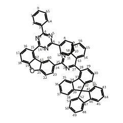 c1ccc(-c2nc(-c3ccccc3)nc(-c3cccc4oc5ccc(-c6nc(-c7cccc8c7-c7ccccc7C87c8ccccc8-c8ccccc87)c7ccccc7n6)cc5c34)n2)cc1